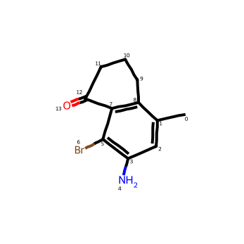 Cc1cc(N)c(Br)c2c1CCCC2=O